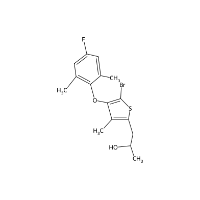 Cc1cc(F)cc(C)c1Oc1c(Br)sc(CC(C)O)c1C